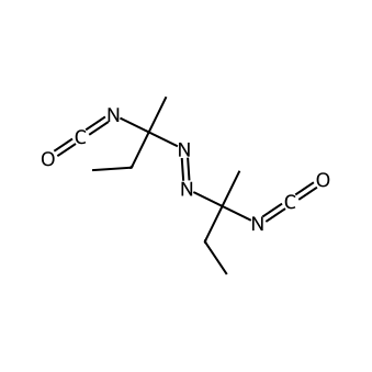 CCC(C)(N=C=O)N=NC(C)(CC)N=C=O